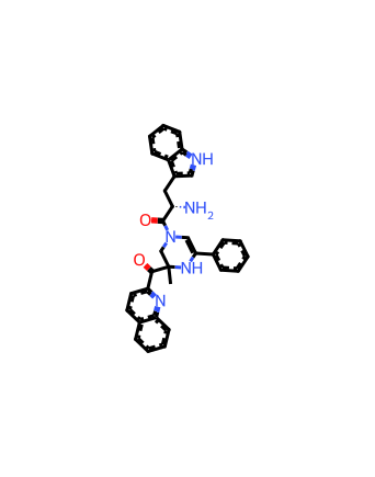 CC1(C(=O)c2ccc3ccccc3n2)CN(C(=O)[C@@H](N)Cc2c[nH]c3ccccc23)C=C(c2ccccc2)N1